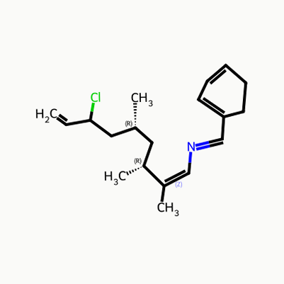 C=CC(Cl)C[C@H](C)C[C@@H](C)/C(C)=C\N=CC1=CC=CCC1